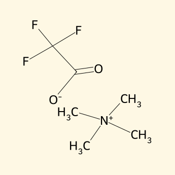 C[N+](C)(C)C.O=C([O-])C(F)(F)F